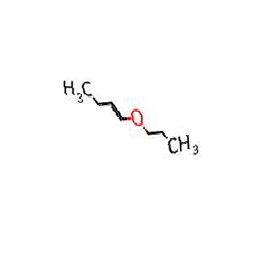 CC/C=C/OCCC